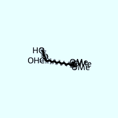 CO[Si](CCCCCCCCCCCC([C]=O)OCCO)(OC)OC